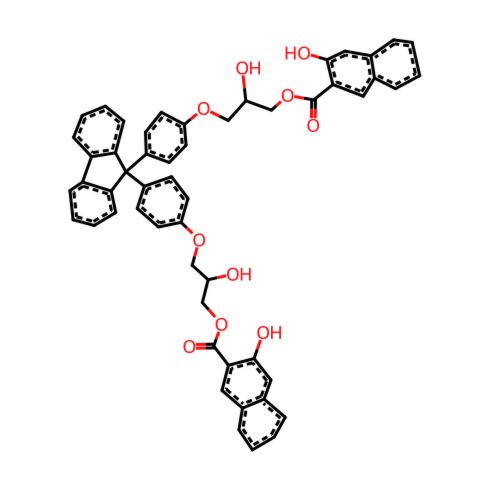 O=C(OCC(O)COc1ccc(C2(c3ccc(OCC(O)COC(=O)c4cc5ccccc5cc4O)cc3)c3ccccc3-c3ccccc32)cc1)c1cc2ccccc2cc1O